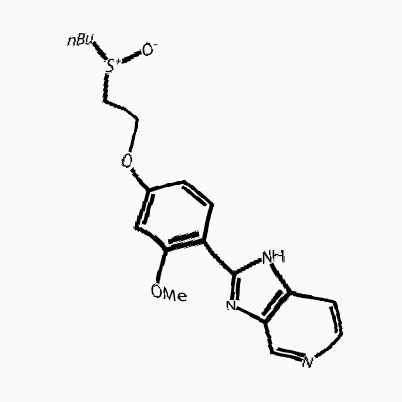 CCCC[S+]([O-])CCOc1ccc(-c2nc3cnccc3[nH]2)c(OC)c1